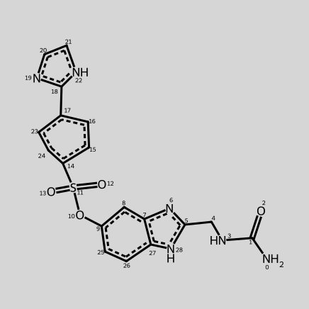 NC(=O)NCc1nc2cc(OS(=O)(=O)c3ccc(-c4ncc[nH]4)cc3)ccc2[nH]1